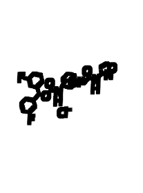 O=C(C[N+]12CCC(CC1)C(NC(=O)OC(c1cccc(F)c1)c1cccc(F)c1)C2)Nc1ccon1.[Cl-]